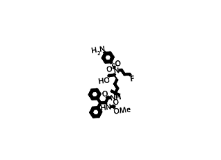 COC(=O)N[C@H](C(=O)NC(C)(C)CCC[C@@H](CO)N(CCCF)S(=O)(=O)c1ccc(N)cc1)C(c1ccccc1)c1ccccc1